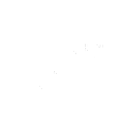 CCSC(=N)NC(=S)Nc1ccc(N2CCC(N(C)C)CC2)cc1